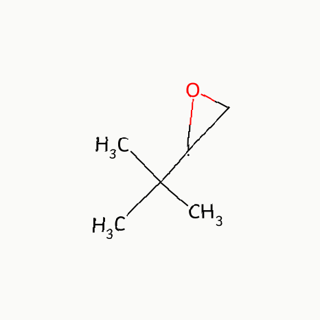 CC(C)(C)[C]1CO1